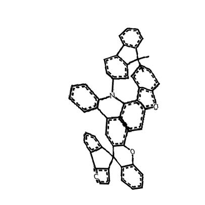 CC1(C)c2ccccc2-c2ccc(N(c3ccccc3-c3ccc4c(c3)C3(c5ccccc5O4)c4ccccc4-c4ccccc43)c3cccc4oc5ccccc5c34)cc21